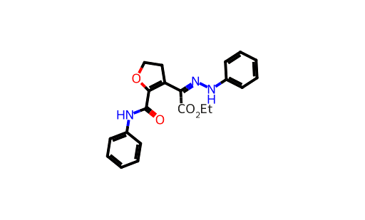 CCOC(=O)/C(=N\Nc1ccccc1)C1=C(C(=O)Nc2ccccc2)OCC1